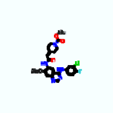 COc1cc2ncnc(Nc3ccc(F)c(Cl)c3)c2cc1NC(=O)C=C1CCN(C(=O)OC(C)(C)C)CC1